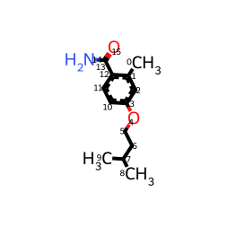 Cc1cc(OCCC(C)C)ccc1C(N)=O